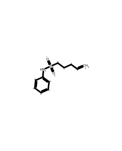 C=CCCCS(=O)(=O)Nc1ccccc1